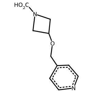 O=C(O)N1CC(OCc2ccncc2)C1